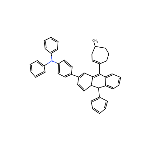 CC1CC=C(C2=C3C=C(c4ccc(N(c5ccccc5)c5ccccc5)cc4)C=CC3C(c3ccccc3)c3ccccc32)CCC1